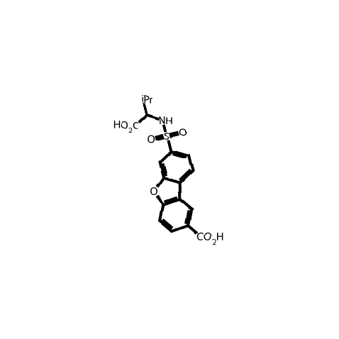 CC(C)C(NS(=O)(=O)c1ccc2c(c1)oc1ccc(C(=O)O)cc12)C(=O)O